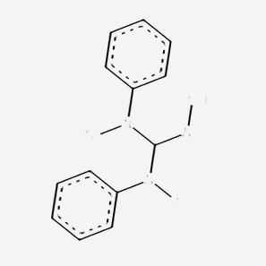 CC(=O)N(c1ccccc1)C(NO)N(C(C)=O)c1ccccc1